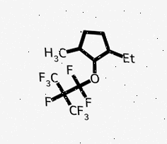 [CH2]CC1C[CH]C(C)C1OC(F)(F)C(F)(C(F)(F)F)C(F)(F)F